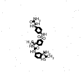 C=C(S)N(N)c1cccc(NC(=O)NN(C)c2cccc(S(=O)(=O)Nc3ccc(NNC(N)=O)cc3)c2)c1